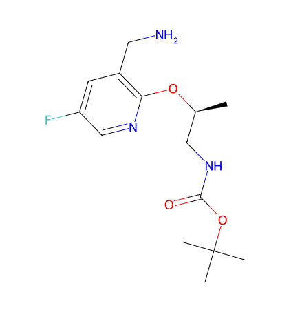 C[C@@H](CNC(=O)OC(C)(C)C)Oc1ncc(F)cc1CN